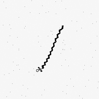 CCCCCCCCCCCCCCCCCCCCC=C[N+](C)(C)[O-]